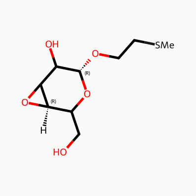 CSCCO[C@@H]1OC(CO)[C@H]2OC2C1O